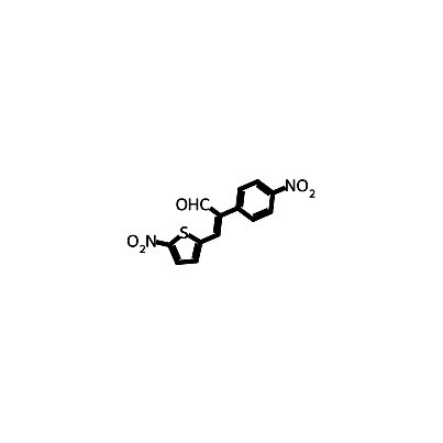 O=C/C(=C\c1ccc([N+](=O)[O-])s1)c1ccc([N+](=O)[O-])cc1